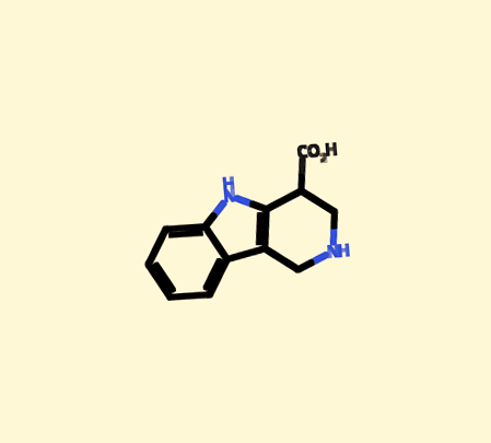 O=C(O)C1CNCc2c1[nH]c1ccccc21